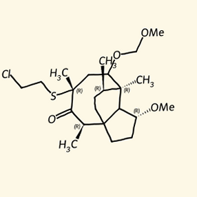 COCOC1C[C@@](C)(SCCCl)C(=O)[C@H](C)C23CC[C@@H](C)[C@]1(C)C2[C@H](OC)CC3